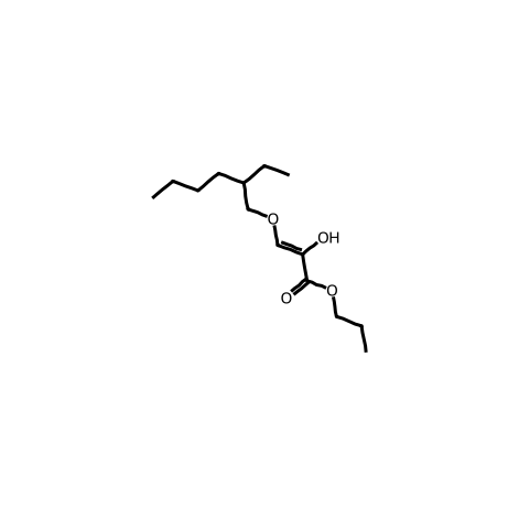 CCCCC(CC)COC=C(O)C(=O)OCCC